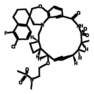 C[C@@H]1[C@@H](C)S(=O)(=O)NC(=O)c2ccc3c(c2)N(C[C@@H]2CC[C@H]2[C@@H](OCCN(C)S(C)(=O)=O)C2=C[C@H]1C2)C[C@@]1(CCCc2c1ccc(Cl)c2F)CO3